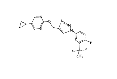 CC(F)(F)c1cc(-n2cc(COc3ncc(C4CC4)cn3)nn2)ccc1F